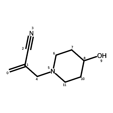 C=C(C#N)CN1CCC(O)CC1